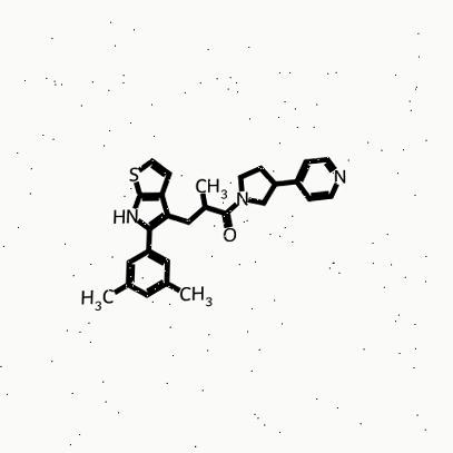 Cc1cc(C)cc(-c2[nH]c3sccc3c2CC(C)C(=O)N2CCC(c3ccncc3)C2)c1